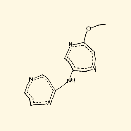 COc1cnc(Nc2cnccn2)cn1